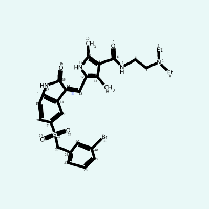 CCN(CC)CCNC(=O)c1c(C)[nH]c(/C=C2\C(=O)Nc3ccc(S(=O)(=O)Cc4cccc(Br)c4)cc32)c1C